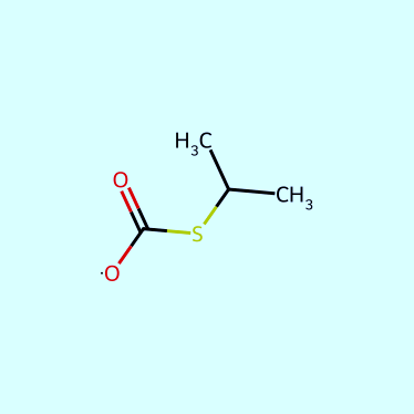 CC(C)SC([O])=O